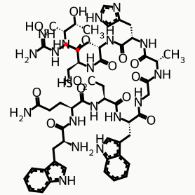 C[C@H](NC(=O)CNC(=O)[C@H](Cc1c[nH]c2ccccc12)NC(=O)[C@H](CC(=O)O)NC(=O)[C@H](CCC(N)=O)NC(=O)[C@@H](N)Cc1c[nH]c2ccccc12)C(=O)N[C@@H](Cc1c[nH]cn1)C(=O)N[C@@H](CCCNC(=N)N)C(=O)N[C@@H](CS)C(=O)N[C@H](C(=O)O)[C@@H](C)O